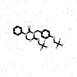 O=C1N(Cc2ccc(OCC(F)(F)F)cc2)C(=NCC(F)(F)F)SCN1c1ccccc1